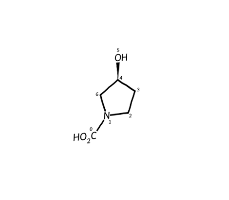 O=C(O)N1CC[C@H](O)C1